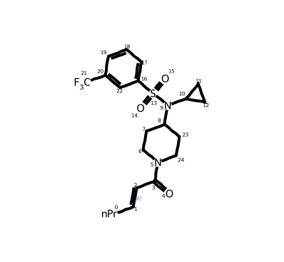 CCC/C=C/C(=O)N1CCC(N(C2CC2)S(=O)(=O)c2cccc(C(F)(F)F)c2)CC1